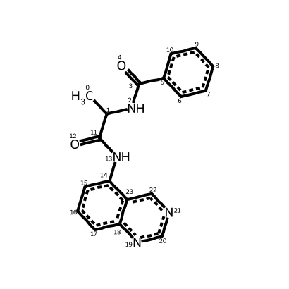 CC(NC(=O)c1ccccc1)C(=O)Nc1cccc2ncncc12